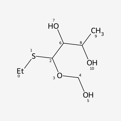 CCSC(OCO)C(O)C(C)O